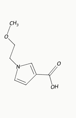 COCCn1ccc(C(=O)O)c1